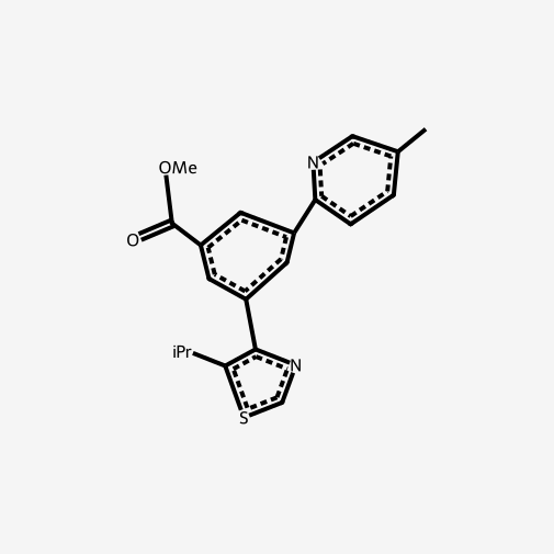 COC(=O)c1cc(-c2ccc(C)cn2)cc(-c2ncsc2C(C)C)c1